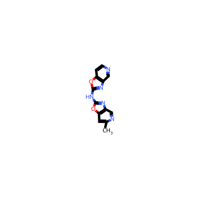 Cc1cc2oc(Nc3nc4cnccc4o3)nc2cn1